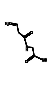 C=CCC(=O)NCC([NH])=O